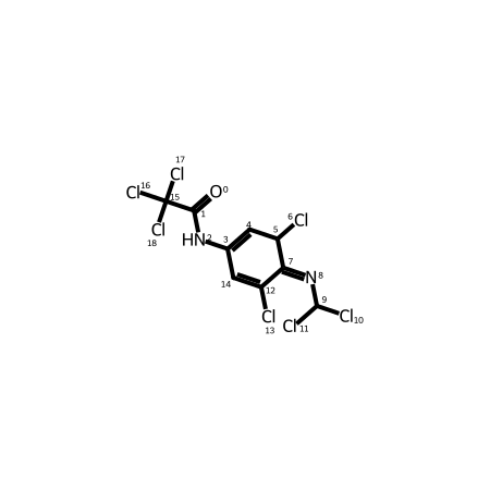 O=C(NC1=CC(Cl)C(=NC(Cl)Cl)C(Cl)=C1)C(Cl)(Cl)Cl